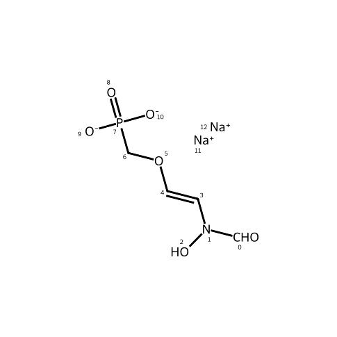 O=CN(O)C=COCP(=O)([O-])[O-].[Na+].[Na+]